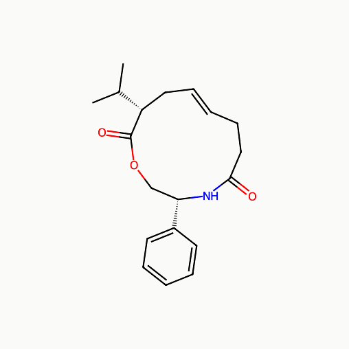 CC(C)[C@@H]1C/C=C/CCC(=O)N[C@H](c2ccccc2)COC1=O